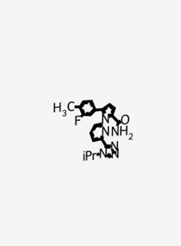 Cc1ccc(-c2ccc(C(N)=O)n2-c2cccc(-c3nncn3C(C)C)n2)cc1F